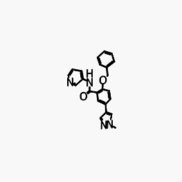 Cn1cc(-c2ccc(OCc3ccccc3)c(C(=O)Nc3cccnc3)c2)cn1